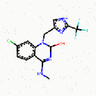 CNC1=NC(O)N(Cc2c[nH]c(C(F)(F)F)n2)c2cc(Cl)ccc21